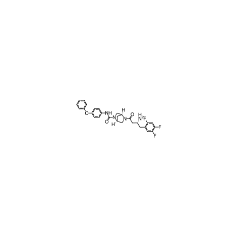 N[C@@H](CC(=O)N1C[C@@H]2C[C@H]1CN2C(=O)Nc1ccc(Oc2ccccc2)cc1)Cc1cc(F)c(F)cc1F